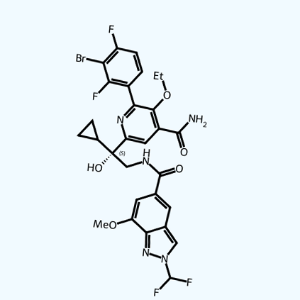 CCOc1c(C(N)=O)cc([C@@](O)(CNC(=O)c2cc(OC)c3nn(C(F)F)cc3c2)C2CC2)nc1-c1ccc(F)c(Br)c1F